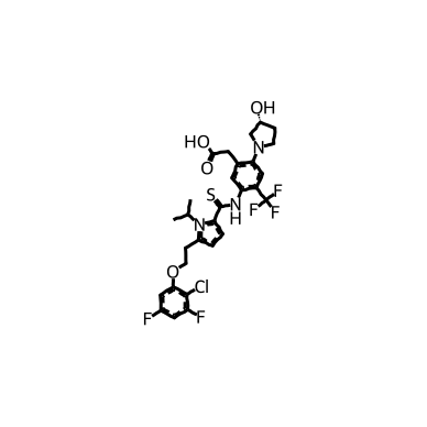 CC(C)n1c(CCOc2cc(F)cc(F)c2Cl)ccc1C(=S)Nc1cc(CC(=O)O)c(N2CC[C@@H](O)C2)cc1C(F)(F)F